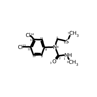 CNC(=O)N(CSC)c1ccc(Cl)c(Cl)c1